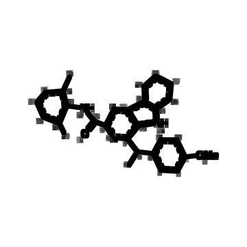 COc1ccc(C(C)c2nc(C(=O)Nc3c(C)cccc3C)cc3c2[nH]c2ccccc23)cc1